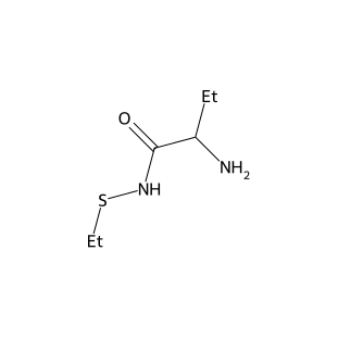 CCSNC(=O)C(N)CC